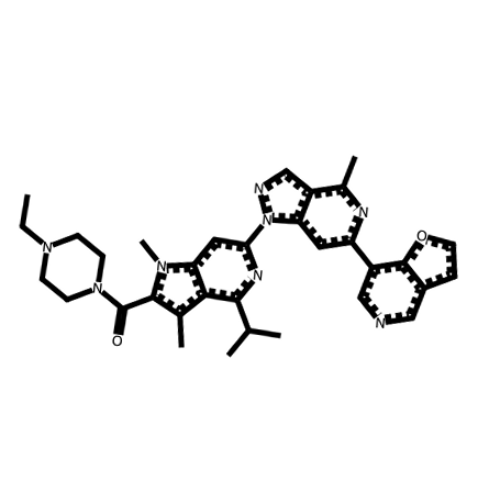 CCN1CCN(C(=O)c2c(C)c3c(C(C)C)nc(-n4ncc5c(C)nc(-c6cncc7ccoc67)cc54)cc3n2C)CC1